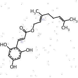 CC(C)=CCC/C(C)=C/COC(=O)/C=C/c1c(O)cc(O)cc1O